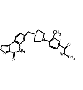 CNC(=O)c1ccc(N2CCN(Cc3ccc4c(c3)[nH]c(=O)c3n[nH]cc34)CC2)c(C)n1